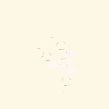 CCCCC(CC)COC(=O)c1ccc(Nc2nc(Nc3ccc(C(=O)O)cc3)nc(Nc3ccc(C(=O)O)cc3)n2)cc1